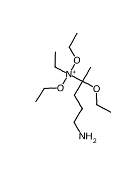 CCOC(C)(CCCN)[N+](CC)(OCC)OCC